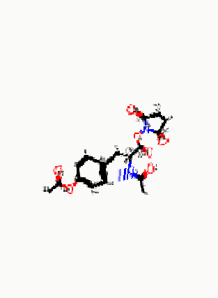 CC(=O)N[C@@H](Cc1ccc(OC(C)=O)cc1)C(=O)ON1C(=O)CCC1=O